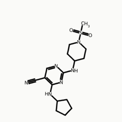 CS(=O)(=O)N1CCC(Nc2ncc(C#N)c(NC3CCCC3)n2)CC1